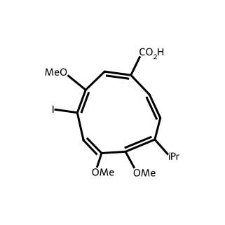 COc1cc(C(=O)O)ccc(C(C)C)c(OC)c(OC)cc1I